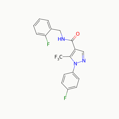 O=C(NCc1ccccc1F)c1cnn(-c2ccc(F)cc2)c1C(F)(F)F